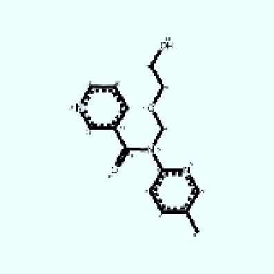 Cc1ccc(N(COCCO)C(=O)c2cccnc2)nc1